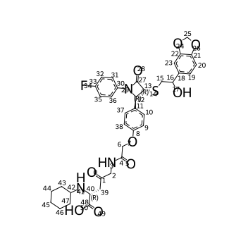 O=C(CNC(=O)COc1ccc([C@@H]2[C@@H](SCC(O)c3ccc4c(c3)OCO4)C(=O)N2c2ccc(F)cc2)cc1)C[C@@H](NC1CCCCC1)C(=O)O